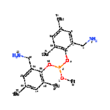 CCOP(Oc1c(CN)cc(C(C)(C)C)cc1C(C)(C)C)Oc1c(CN)cc(C(C)(C)C)cc1C(C)(C)C